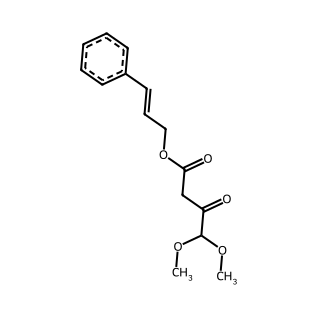 COC(OC)C(=O)CC(=O)OC/C=C/c1ccccc1